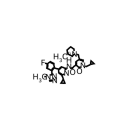 C[C@H]1CCCN(Cc2cc(C(=O)Nc3cc(-c4ccc(F)cc4-c4nncn4C)cc(C4CC4)n3)c(=O)n(CC3CC3)c2)C1